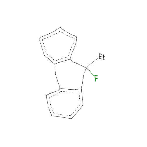 CCC1(F)c2ccccc2-c2ccccc21